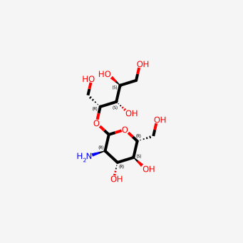 N[C@H]1C(O[C@H](CO)[C@@H](O)[C@@H](O)CO)O[C@H](CO)[C@@H](O)[C@@H]1O